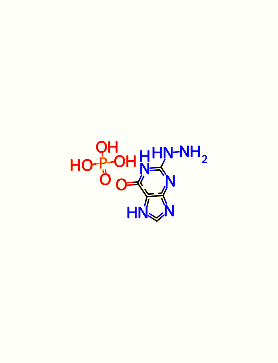 NNc1nc2nc[nH]c2c(=O)[nH]1.O=P(O)(O)O